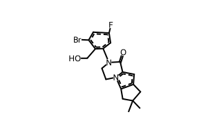 CC1(C)Cc2cc3n(c2C1)CCN(c1cc(F)cc(Br)c1CO)C3=O